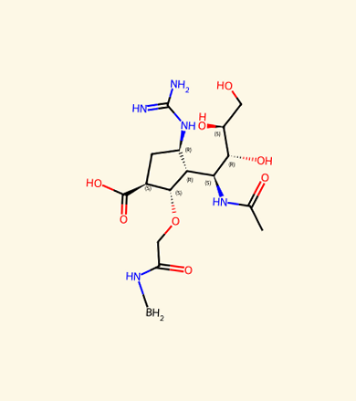 BNC(=O)CO[C@H]1[C@@H]([C@H](NC(C)=O)[C@@H](O)[C@@H](O)CO)[C@H](NC(=N)N)C[C@@H]1C(=O)O